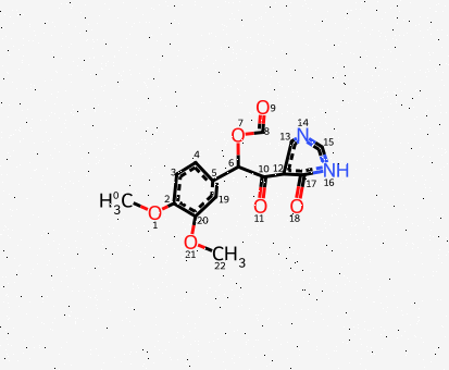 COc1ccc(C(OC=O)C(=O)c2cnc[nH]c2=O)cc1OC